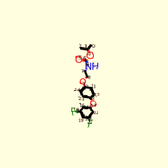 CC(C)OC(=O)NCCOc1ccc(Oc2cc(F)cc(F)c2)cc1